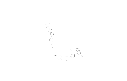 CCOc1cc(-c2ccc(N3CCC(CN4CCN(C(=O)CCCCCCN5CCN(c6ccc7c(c6)CN(C6CCC(=O)NC6=O)C7=O)CC5)CC4)CC3)nc2)c2c(C#N)cnn2c1